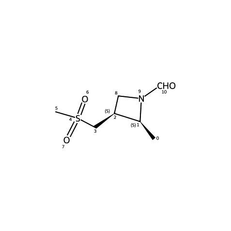 C[C@H]1[C@@H](CS(C)(=O)=O)CN1C=O